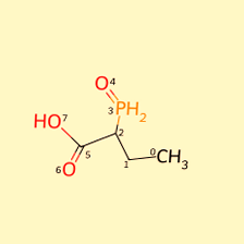 CCC([PH2]=O)C(=O)O